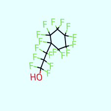 OC(F)(F)C(F)(F)C(F)(F)C1(F)C(F)(F)C(F)(F)C(F)(F)C(F)(F)C1(F)F